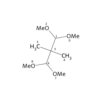 COC(OC)C(C)(C)C(OC)OC